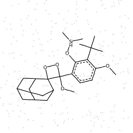 COc1ccc(C2(OC)OOC23C2CC4CC(C2)CC3C4)c(O[SiH](C)C)c1C(C)(C)C